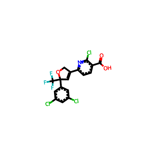 O=C(O)c1ccc(C2=CC(c3cc(Cl)cc(Cl)c3)(C(F)(F)F)OC2)nc1Cl